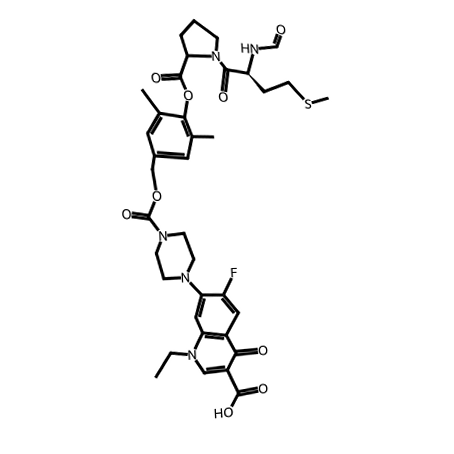 CCn1cc(C(=O)O)c(=O)c2cc(F)c(N3CCN(C(=O)OCc4cc(C)c(OC(=O)C5CCCN5C(=O)[C@H](CCSC)NC=O)c(C)c4)CC3)cc21